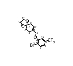 FC(F)(F)c1ccc(Br)c(OCC2=CCC3(CC2)OCCO3)c1